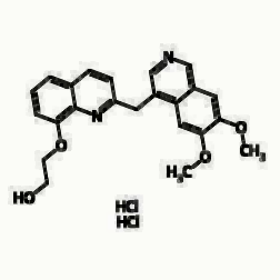 COc1cc2cncc(Cc3ccc4cccc(OCCO)c4n3)c2cc1OC.Cl.Cl